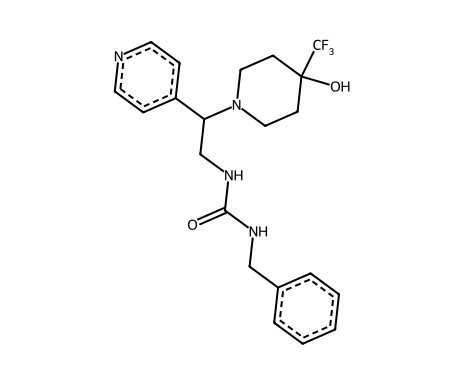 O=C(NCc1ccccc1)NCC(c1ccncc1)N1CCC(O)(C(F)(F)F)CC1